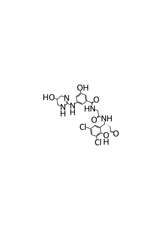 O=CC[C@@H](NC(=O)CNC(=O)c1cc(O)cc(NC2=NCC(O)CN2)c1)c1cc(Cl)cc(Cl)c1O